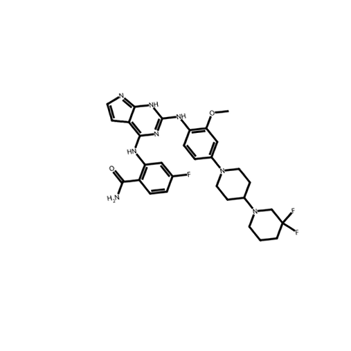 COc1cc(N2CCC(N3CCCC(F)(F)C3)CC2)ccc1Nc1nc(Nc2cc(F)ccc2C(N)=O)c2ccnc-2[nH]1